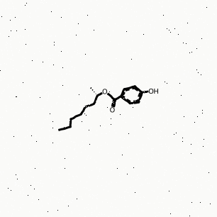 CCCCCC[C@H](C)OC(=O)c1ccc(O)cc1